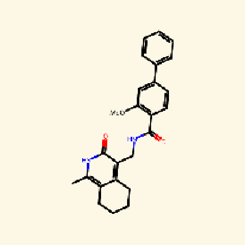 COc1cc(-c2ccccc2)ccc1C(=O)NCc1c2c(c(C)[nH]c1=O)CCCC2